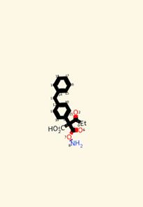 CCC(=O)C(C(=O)O)(C(=O)ON)c1ccc(Cc2ccccc2)cc1